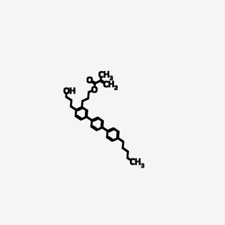 C=C(C)C(=O)OCCCc1cc(-c2ccc(-c3ccc(CCCCC)cc3)cc2)ccc1CCCO